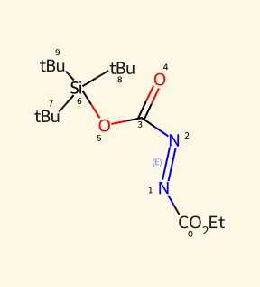 CCOC(=O)/N=N/C(=O)O[Si](C(C)(C)C)(C(C)(C)C)C(C)(C)C